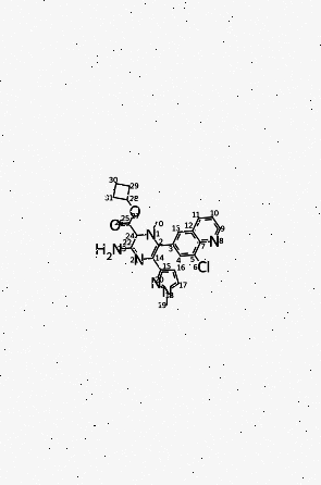 CN1C(c2cc(Cl)c3ncccc3c2)=C(c2ccn(C)n2)N=C(N)C1C(=O)OC1CCC1